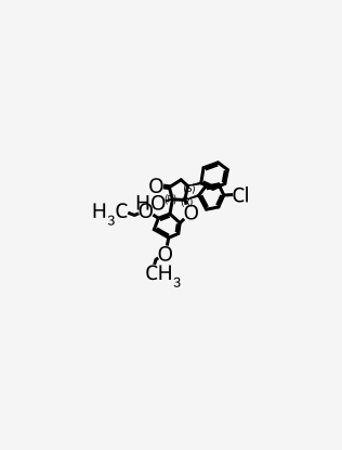 CCOc1cc(OCC)c2c(c1)O[C@@]1(c3ccc(Cl)cc3)[C@H](c3ccccc3)CC(=O)[C@@]21O